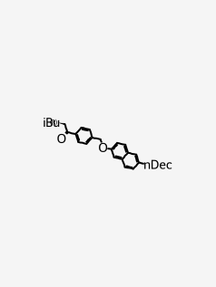 CCCCCCCCCCc1ccc2cc(OCc3ccc(C(=O)C[C@H](C)CC)cc3)ccc2c1